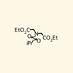 CCOC(=O)CN(CC(=O)OCC)S(=O)(=O)C(C)C